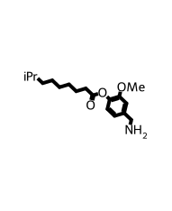 COc1cc(CN)ccc1OC(=O)CCCCCCC(C)C